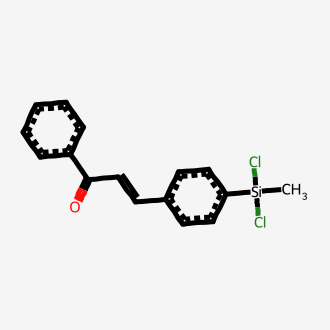 C[Si](Cl)(Cl)c1ccc(C=CC(=O)c2ccccc2)cc1